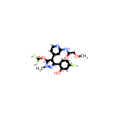 COCC(=O)Nc1cc(-c2c(-c3ccc(F)cc3O)nn(C)c2OC(F)F)ccn1